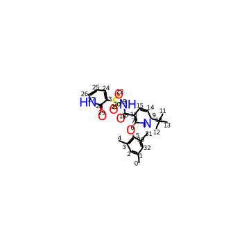 Cc1cc(C)c(Oc2nc(C(C)(C)C)ccc2C(=O)NS(=O)(=O)c2ccc[nH]c2=O)c(C)c1